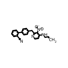 C=CCNc1ccnc(Cc2ccc(-c3ccccc3C#N)cc2)c1[N+](=O)[O-]